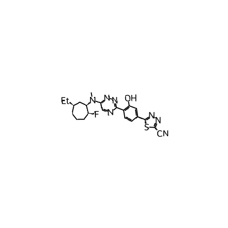 CC[C@@H]1CCC[C@H](F)[C@H](N(C)c2cnc(-c3ccc(-c4nnc(C#N)s4)cc3O)nn2)C1